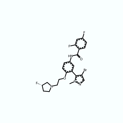 Cn1ncc(Br)c1-c1cc(NC(=O)c2ccc(F)cc2F)ccc1OCCN1CC[C@H](F)C1